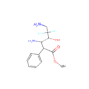 CCCCOC(=O)C(c1ccccc1)C(N)C(O)C(F)(F)CN